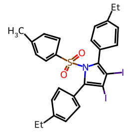 CCc1ccc(-c2c(I)c(I)c(-c3ccc(CC)cc3)n2S(=O)(=O)c2ccc(C)cc2)cc1